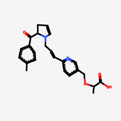 Cc1ccc(C(=O)C2CC=CN2C/C=C/c2ccc(COC(C)C(=O)O)cn2)cc1